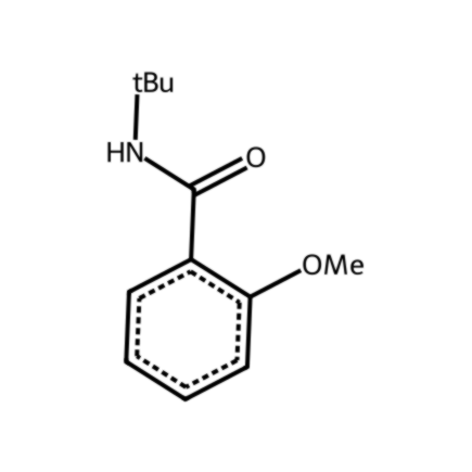 COc1ccccc1C(=O)NC(C)(C)C